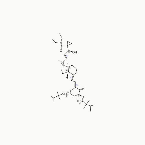 C=C1/C(=C/C=C2\CCC[C@]3(C)[C@@H]([C@H](C)/C=C/[C@H](O)C4(C(=O)N(CC)CC)CC4)CC[C@@H]23)C[C@@H](O[SiH2]C(C)(C)C(C)C)C[C@@H]1O[SiH2]C(C)(C)C(C)C